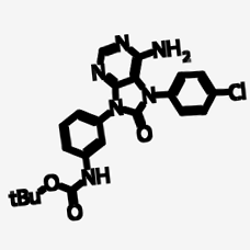 CC(C)(C)OC(=O)Nc1cccc(-n2c(=O)n(-c3ccc(Cl)cc3)c3c(N)ncnc32)c1